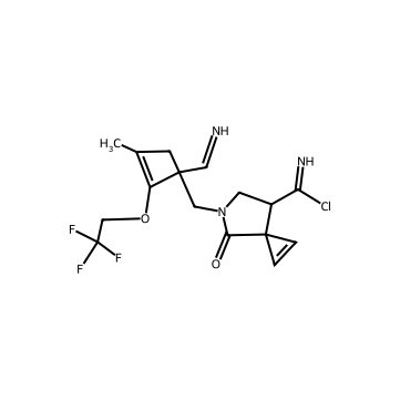 CC1=C(OCC(F)(F)F)C(C=N)(CN2CC(C(=N)Cl)C3(C=C3)C2=O)C1